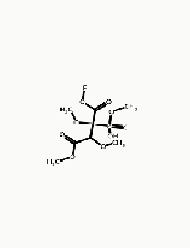 COC(=O)C(OC)C(OC)(C(=O)OF)P(=O)(O)OC